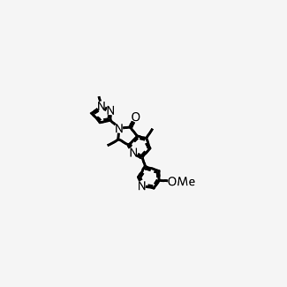 COc1cncc(-c2cc(C)c3c(n2)C(C)N(c2ccn(C)n2)C3=O)c1